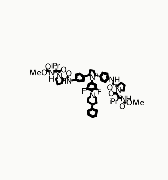 COC(=O)N[C@H](C(=O)N1CCC[C@H]1C(=O)Nc1ccc(C2CC[C@@H](c3ccc(NC(=O)[C@@H]4CCCN4C(=O)[C@@H](NC(=O)OC)C(C)C)cc3)N2c2cc(F)c(N3CCC(c4ccccc4)CC3)c(F)c2)cc1)C(C)C